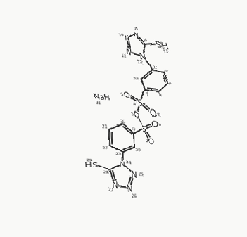 O=S(=O)(OS(=O)(=O)c1cccc(-n2nnnc2S)c1)c1cccc(-n2nnnc2S)c1.[NaH]